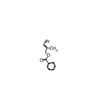 C/C(=C\C(C)C)COC(=O)c1ccccc1